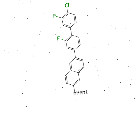 CCCCCc1ccc2cc(-c3ccc(-c4ccc(Cl)c(F)c4)c(F)c3)ccc2c1